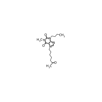 CCCCn1c(=O)n(C)c(=O)c2c1ncn2CCCCCC(C)=O